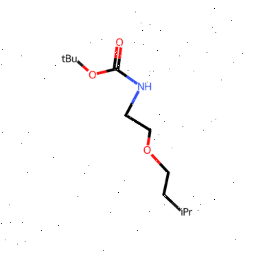 CC(C)CCOCCNC(=O)OC(C)(C)C